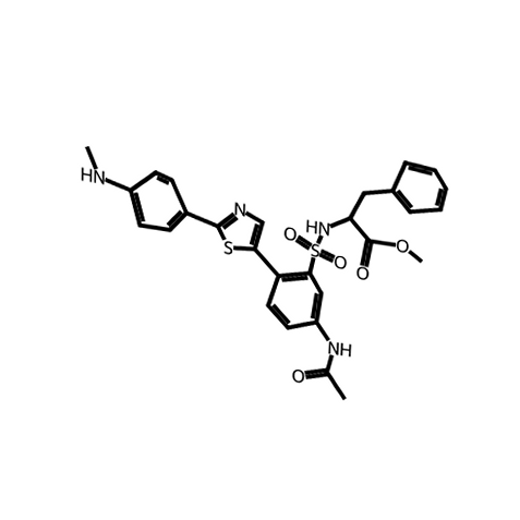 CNc1ccc(-c2ncc(-c3ccc(NC(C)=O)cc3S(=O)(=O)NC(Cc3ccccc3)C(=O)OC)s2)cc1